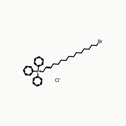 BrCCCCCCCCCCCCC=CC[P+](c1ccccc1)(c1ccccc1)c1ccccc1.[Cl-]